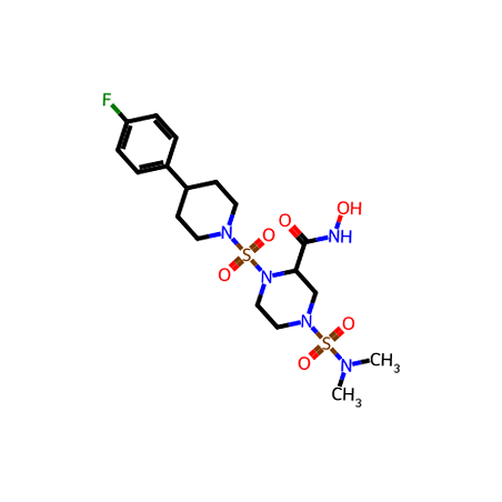 CN(C)S(=O)(=O)N1CCN(S(=O)(=O)N2CCC(c3ccc(F)cc3)CC2)C(C(=O)NO)C1